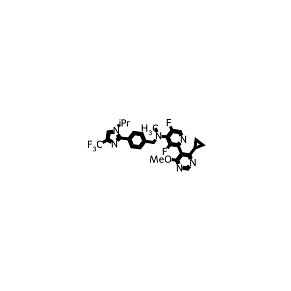 COc1ncnc(C2CC2)c1-c1ncc(F)c(N(C)Cc2ccc(-c3nc(C(F)(F)F)cn3C(C)C)cc2)c1F